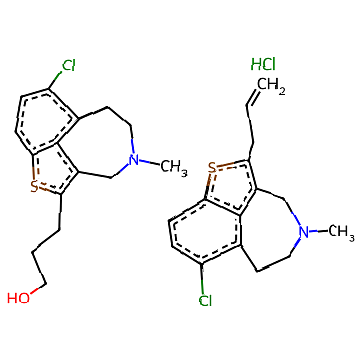 C=CCc1sc2ccc(Cl)c3c2c1CN(C)CC3.CN1CCc2c(Cl)ccc3sc(CCCO)c(c23)C1.Cl